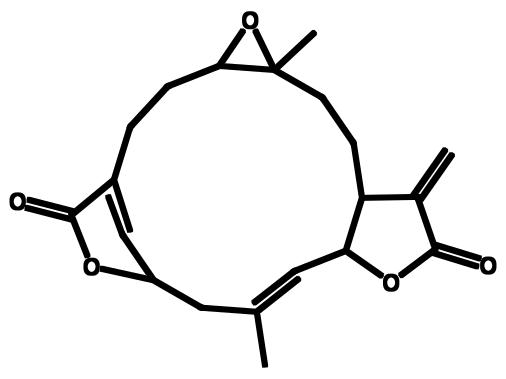 C=C1C(=O)OC2/C=C(\C)CC3C=C(CCC4OC4(C)CCC12)C(=O)O3